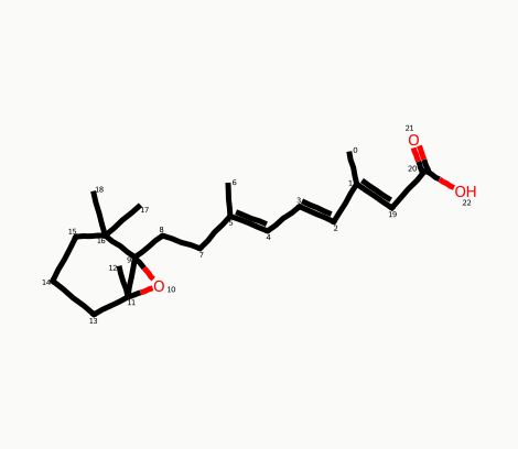 CC(/C=C/C=C(\C)CCC12OC1(C)CCCC2(C)C)=C\C(=O)O